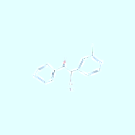 Br.O=C(c1ccncc1)C(Br)c1ccnc(F)c1